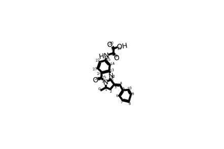 CC1CC(=Cc2ccccc2)c2nc3cc(NC(=O)C(=O)O)ccc3c(=O)n21